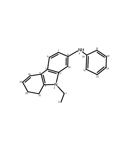 CCn1c2c(c3ccc(Nc4ccccc4)cc31)C=CCC2